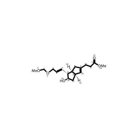 COCOC/C=C/[C@@H]1[C@H]2CC(CCC(=O)OC)=C[C@H]2C[C@H]1O